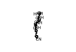 [H]/N=C(\CCNC(=O)c1cc(NC(=O)c2cc(NC(=O)c3ccc(C=Cc4ccc(C#N)cc4)cc3)cn2C)cn1C)NC(C)C